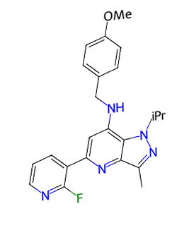 COc1ccc(CNc2cc(-c3cccnc3F)nc3c(C)nn(C(C)C)c23)cc1